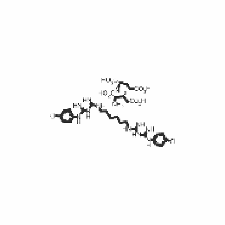 N=C(NCCCCCCNC(=N)NC(=N)Nc1ccc(Cl)cc1)NC(=N)Nc1ccc(Cl)cc1.N[C@@H](CCC(=O)O)C(=O)O.N[C@@H](CCC(=O)O)C(=O)O